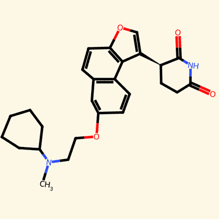 CN(CCOc1ccc2c(ccc3occ([C@@H]4CCC(=O)NC4=O)c32)c1)C1CCCCC1